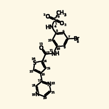 CS(=O)(=O)Nc1cc(Br)cc(NC(=O)c2cc(-c3cnccn3)cs2)c1